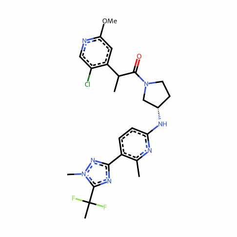 COc1cc(C(C)C(=O)N2CC[C@H](Nc3ccc(-c4nc(C(C)(F)F)n(C)n4)c(C)n3)C2)c(Cl)cn1